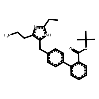 CCc1nc(CCN)c(Cc2ccc(-c3ccccc3C(=O)OC(C)(C)C)cc2)[nH]1